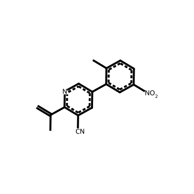 C=C(C)c1ncc(-c2cc([N+](=O)[O-])ccc2C)cc1C#N